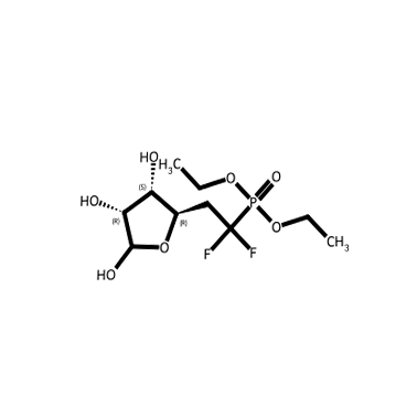 CCOP(=O)(OCC)C(F)(F)C[C@H]1OC(O)[C@H](O)[C@@H]1O